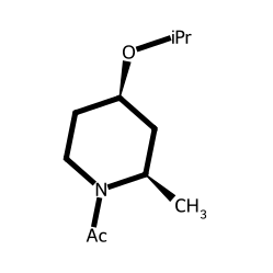 CC(=O)N1CC[C@@H](OC(C)C)C[C@H]1C